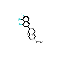 CCCCCC[C@@H]1CC[C@@H]2CC(c3cc(F)c4c(F)c(F)ccc4c3)CCC2C1